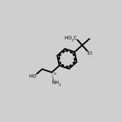 CCC(C)(C(=O)O)c1ccc([C@H](N)CO)cc1